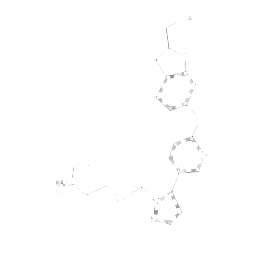 CC(=O)OCC1Cc2ccc(Oc3ccc(-c4ccnn4COCC[SiH](C)C)cn3)cc2O1